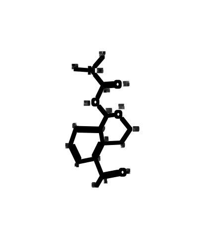 CC(=O)c1cccc2c1CCOC2OC(=O)N(C)C